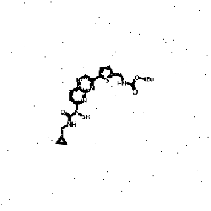 CC(C)(C)OC(=O)NCc1ccc(-c2cnc3ccc(N(S)C(=O)NCC4CC4)nc3n2)s1